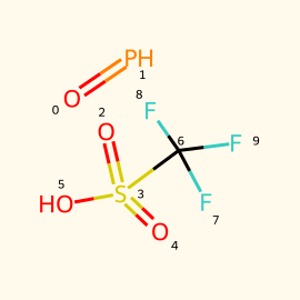 O=P.O=S(=O)(O)C(F)(F)F